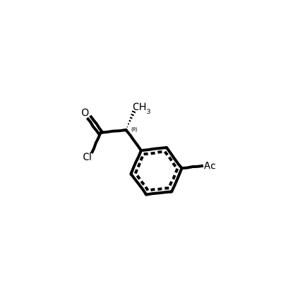 CC(=O)c1cccc([C@@H](C)C(=O)Cl)c1